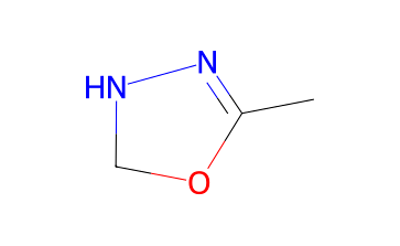 CC1=NNCO1